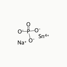 O=P([O-])([O-])[O-].[Na+].[Sn+4]